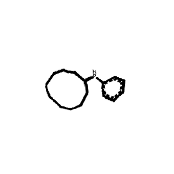 c1ccc(PC2CCCCCCCCC2)cc1